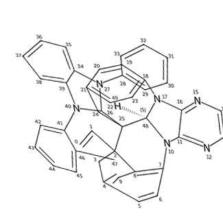 C=CC12Cc3ccc(c1c3)N1c3nccnc3N3c4ccc(cc4)CC2(C2N(c4ccccc4)c4ccccc4N2c2ccccc2C)[C@@H]31